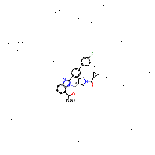 CNC(=O)c1cccc2nc(-c3ccc(-c4ccc(F)cc4)cc3)n(C[C@@H]3CCN(C(=O)C4CC4)C3)c12